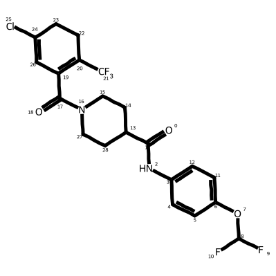 O=C(Nc1ccc(OC(F)F)cc1)C1CCN(C(=O)C2=C(C(F)(F)F)CCC(Cl)=C2)CC1